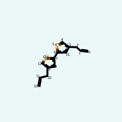 C=CCc1csc(-c2cc(CC=C)cs2)c1